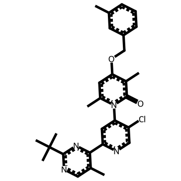 Cc1cccc(COc2cc(C)n(-c3cc(-c4nc(C(C)(C)C)ncc4C)ncc3Cl)c(=O)c2C)c1